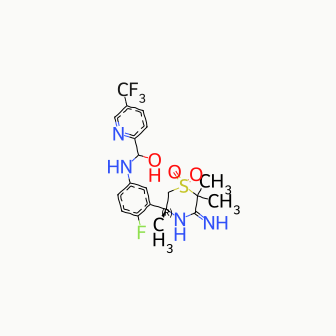 CC1(C)C(=N)N[C@](C)(c2cc(NC(O)c3ccc(C(F)(F)F)cn3)ccc2F)CS1(=O)=O